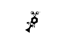 Cn1c(C2CC2)nc2ccc([N+](=O)[O-])cc21